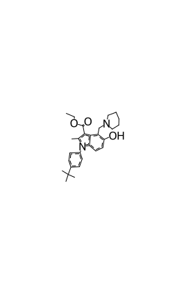 CCOC(=O)c1c(C)n(-c2ccc(C(C)(C)C)cc2)c2ccc(O)c(CN3CCCCC3)c12